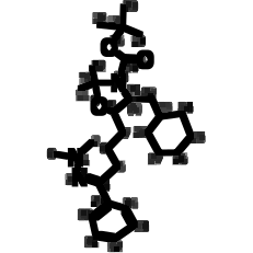 CN(C)N=C(CCCC1OC(C)(C)N(C(=O)OC(C)(C)C)[C@H]1CC1CCCCC1)c1ccccc1